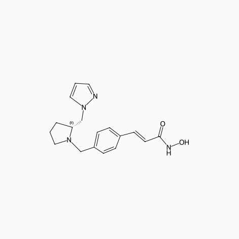 O=C(C=Cc1ccc(CN2CCC[C@@H]2Cn2cccn2)cc1)NO